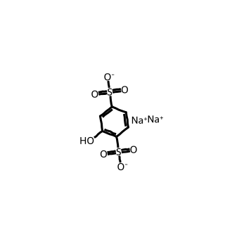 O=S(=O)([O-])c1ccc(S(=O)(=O)[O-])c(O)c1.[Na+].[Na+]